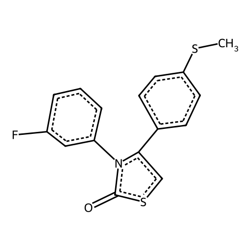 CSc1ccc(-c2csc(=O)n2-c2cccc(F)c2)cc1